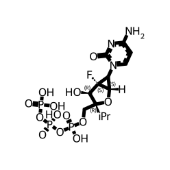 CC(C)[C@]1(COP(=O)(O)OP(=O)(O)OP(=O)(O)O)O[C@H]2C(n3ccc(N)nc3=O)[C@]2(F)[C@@H]1O